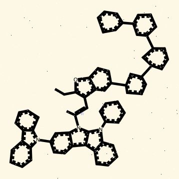 CCc1oc2ccc(-c3cccc(-c4cccc(-c5cccc(-c6ccccc6)c5)c4)c3)cc2c1/C=C(\C)n1c2cc(-n3c4ccccc4c4ccccc43)ccc2c2c3ccccc3n(-c3ccccc3)c21